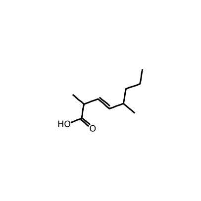 CCCC(C)/C=C/C(C)C(=O)O